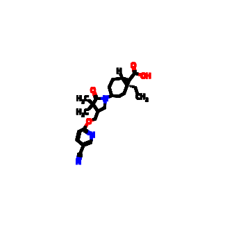 CC[C@]12CCC(N3CC(COc4ccc(C#N)cn4)C(C)(C)C3=O)CC[C@@H]1C2C(=O)O